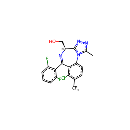 Cc1nnc2n1-c1ccc(C(F)(F)F)c(Cl)c1C(c1c(F)cccc1F)=N[C@H]2CO